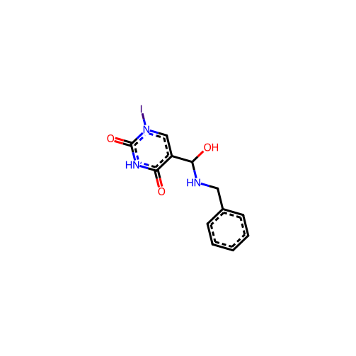 O=c1[nH]c(=O)n(I)cc1C(O)NCc1ccccc1